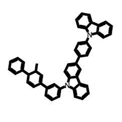 CC1C=C(c2cccc(-n3c4ccccc4c4cc(-c5ccc(-n6c7ccccc7c7ccccc76)cc5)ccc43)c2)C=CC1c1ccccc1